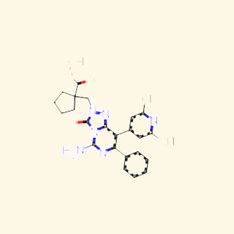 COC(=O)C1(Cn2nc3c(-c4cc(C)nc(C)c4)c(-c4ccccc4)nc(N)n3c2=O)CCCC1